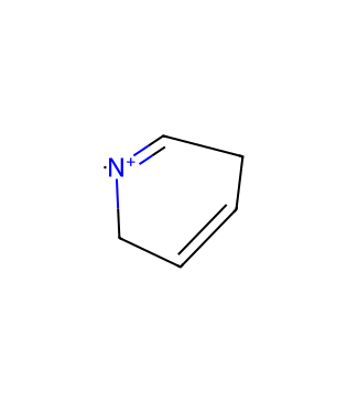 C1=CC[N+]=CC1